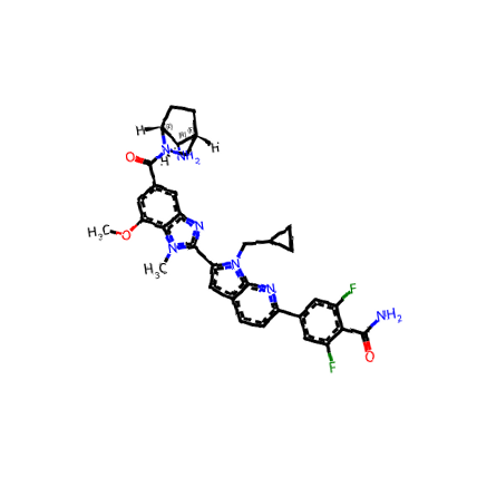 COc1cc(C(=O)N2C[C@H]3CC[C@@H]2[C@@H]3N)cc2nc(-c3cc4ccc(-c5cc(F)c(C(N)=O)c(F)c5)nc4n3CC3CC3)n(C)c12